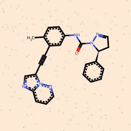 Cc1ccc(NC(=O)N2N=CC[C@H]2c2ccccc2)cc1C#Cc1cnc2cccnn12